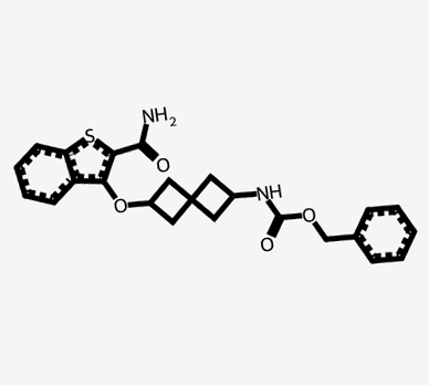 NC(=O)c1sc2ccccc2c1OC1CC2(CC(NC(=O)OCc3ccccc3)C2)C1